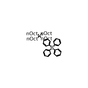 CCCCCCCC[N+](CCCCCCCC)(CCCCCCCC)CCCCCCCC.c1ccc([B-](c2ccccc2)(c2ccccc2)c2ccccc2)cc1